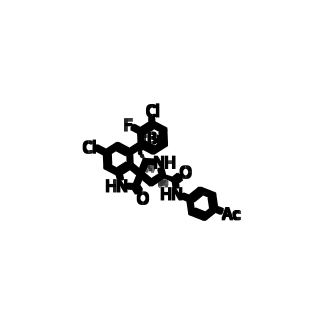 CC(=O)c1ccc(NC(=O)[C@H]2CC3(C(=O)Nc4cc(Cl)cc(-c5cccc(Cl)c5F)c43)[C@H](CC(C)(C)C)N2)cc1